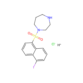 O=S(=O)(c1cccc2c(I)cccc12)N1CCCNCC1.[Cl-].[H+]